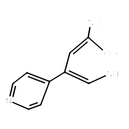 N/C=C(\C=C(\N)C=O)c1ccncc1